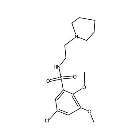 COc1cc(Cl)cc(S(=O)(=O)NCCN2CCCCC2)c1OC